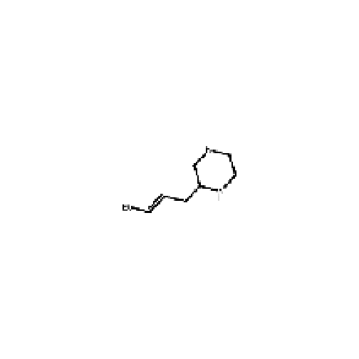 CCC=CCC1C[N]CCN1